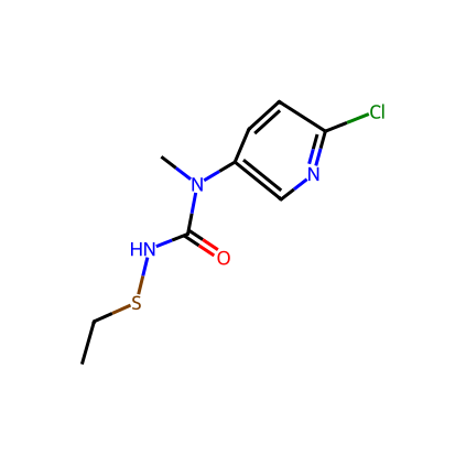 CCSNC(=O)N(C)c1ccc(Cl)nc1